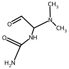 CN(C)C(C=O)NC(N)=O